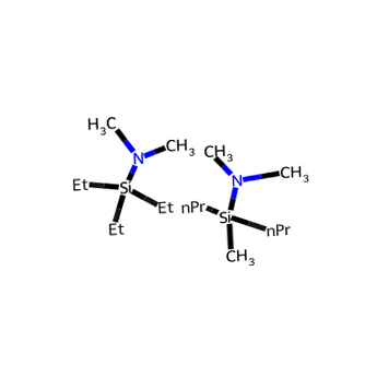 CCC[Si](C)(CCC)N(C)C.CC[Si](CC)(CC)N(C)C